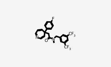 CN(Cc1cc(C(F)(F)F)cc(C(F)(F)F)c1)C(=O)CC1(c2ccc(F)cc2)C=CC=NC=C1